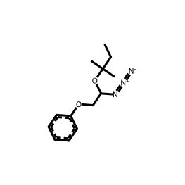 CCC(C)(C)OC(COc1ccccc1)N=[N+]=[N-]